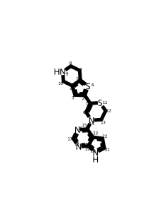 C1=C(c2cc3c(s2)CCNC3)SCCN1c1ncnc2[nH]ccc12